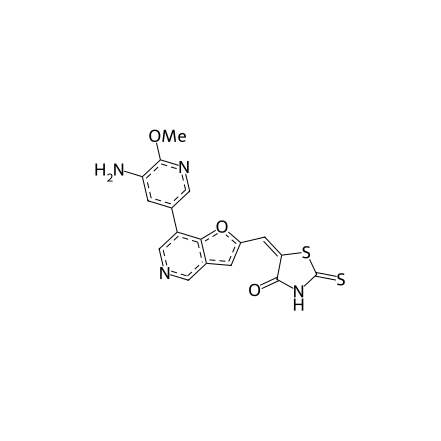 COc1ncc(-c2cncc3cc(C=C4SC(=S)NC4=O)oc23)cc1N